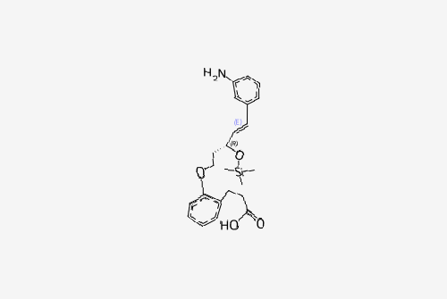 C[Si](C)(C)O[C@@H](/C=C/c1cccc(N)c1)CCOc1ccccc1CCC(=O)O